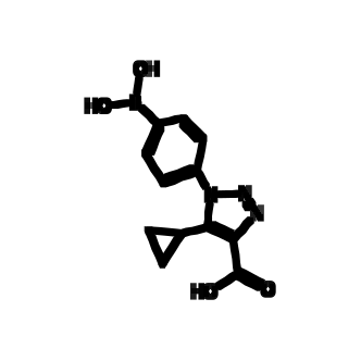 O=C(O)c1nnn(-c2ccc(B(O)O)cc2)c1C1CC1